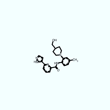 Cc1ccc(NC(=O)c2cccc(-c3ccn[nH]3)n2)c(N2CCC(CO)CC2)c1